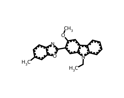 CCn1c2ccccc2c2cc(OC)c(-c3nc4ccc(C)cc4o3)cc21